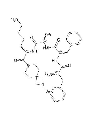 CCC[C@@H](NC(=O)[C@@H](Cc1ccccc1)NC(=O)[C@H](N)Cc1ccccc1)C(=O)N[C@H](CCCCN)C(=O)N1CCC2(CC1)CN(C(C)=O)C2